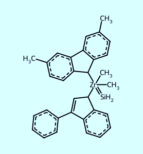 Cc1ccc2c(c1)-c1cc(C)ccc1[CH]2[Zr]([CH3])([CH3])(=[SiH2])[CH]1C=C(c2ccccc2)c2ccccc21